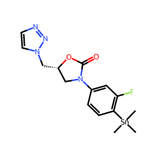 [CH3][Sn]([CH3])([CH3])[c]1ccc(N2C[C@H](Cn3ccnn3)OC2=O)cc1F